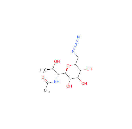 C[C@@H](O)[C@@H](NC(=O)C(F)(F)F)[C@H]1OC(CN=[N+]=[N-])[C@H](O)C(O)C1O